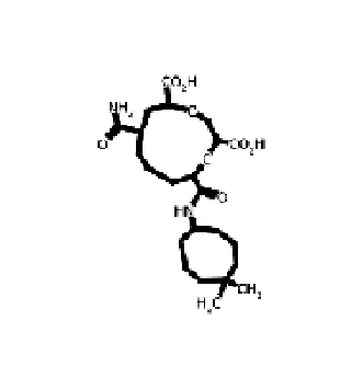 CC1(C)CCCC(NC(=O)C2CCCC(C(N)=O)CC(C(=O)O)CCC(C(=O)O)C2)CCC1